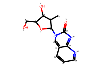 CC1C(O)C(CO)OC1n1cc2cccnc2nc1=O